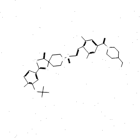 Cc1cc(C(=O)N2CCC(CO)CC2)cc(C)c1C=CS(=O)(=O)N1CCC2(CC1)N=C(c1ccc(F)c(OC(F)(F)F)c1)NC2=O